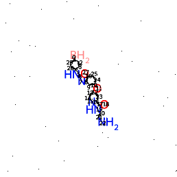 Bc1ccc(Nc2nc3cc(Oc4ccnc(C(=O)NCCN)c4)ccc3o2)cc1